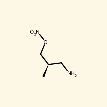 C[C@H](CN)CO[N+](=O)[O-]